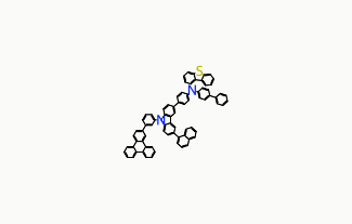 c1ccc(-c2ccc(N(c3ccc(-c4ccc5c(c4)c4cc(-c6cccc7ccccc67)ccc4n5-c4cccc(-c5ccc6c7ccccc7c7ccccc7c6c5)c4)cc3)c3cccc4sc5ccccc5c34)cc2)cc1